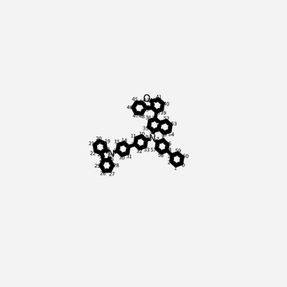 c1ccc(-c2ccc(N(c3ccc(-c4ccc(-n5c6ccccc6c6ccccc65)cc4)cc3)c3ccc(-c4cccc5oc6ccccc6c45)c4ccccc34)cc2)cc1